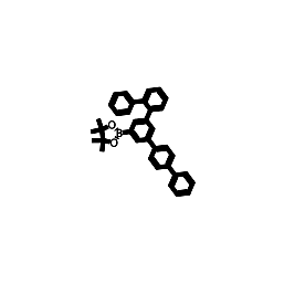 CC1(C)OB(c2cc(-c3ccc(-c4ccccc4)cc3)cc(-c3ccccc3-c3ccccc3)c2)OC1(C)C